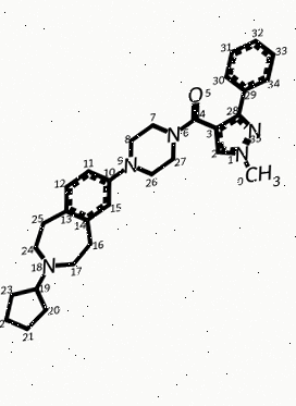 Cn1cc(C(=O)N2CCN(c3ccc4c(c3)CCN(C3CCCC3)CC4)CC2)c(-c2ccccc2)n1